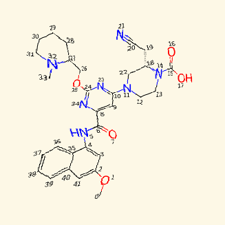 COc1cc(NC(=O)c2cc(N3CCN(C(=O)O)[C@@H](CC#N)C3)nc(OCC3CCCCN3C)n2)c2ccccc2c1